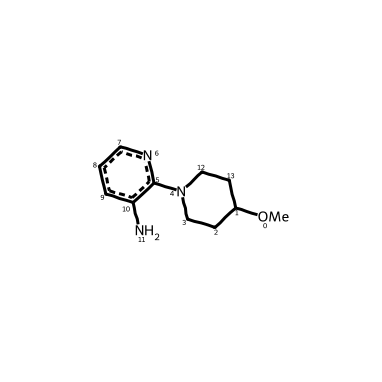 COC1CCN(c2ncccc2N)CC1